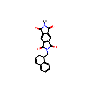 Cn1c(=O)c2cc3c(=O)n(CC4CC=Cc5ccccc54)c(=O)c3cc2c1=O